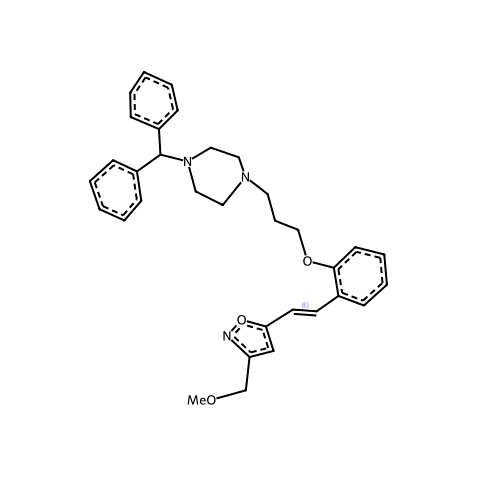 COCc1cc(/C=C/c2ccccc2OCCCN2CCN(C(c3ccccc3)c3ccccc3)CC2)on1